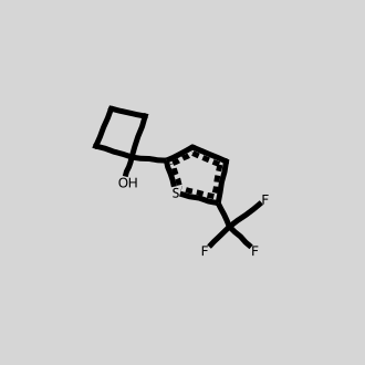 OC1(c2ccc(C(F)(F)F)s2)CCC1